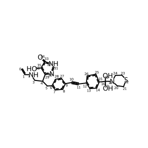 C=CNCC(Cc1ccc(C#Cc2ccc(C(O)(O)N3CCSCC3)cc2)cc1)c1nc[nH]c(=O)c1O